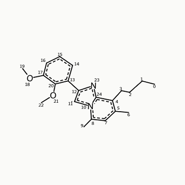 CCCCc1c(C)cc(C)n2[c]c(-c3cccc(OC)c3OC)nc12